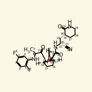 C[C@H](Nc1cc(F)ccc1F)C(=O)N1[C@@H]2CC[C@H]([C@H]1C(=O)N[C@@H](C#N)C[C@H]1CCCNC1=O)C(F)(F)C2